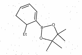 CCC1CC=CC=C1B1OC(C)(C)C(C)(C)O1